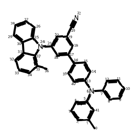 Cc1cccc(N(c2ccccc2)c2ccc(-c3cc(C#N)cc(-n4c5ccccc5c5cccc(C)c54)c3)cc2)c1